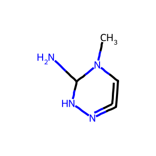 CN1C=C=NNC1N